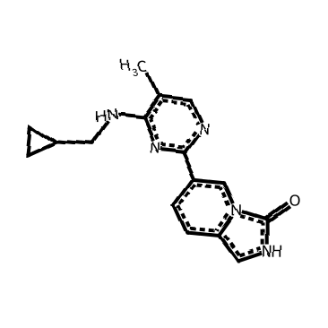 Cc1cnc(-c2ccc3c[nH]c(=O)n3c2)nc1NCC1CC1